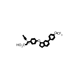 CC#C[C@@H](CC(=O)O)c1ccc(OC2CCc3ccc(-c4ccc(OC(F)(F)F)cc4)cc32)cc1